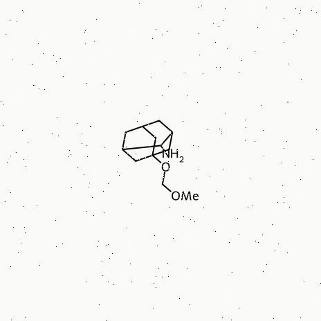 COCOC12CC3CC(C1)C(N)C(C3)C2